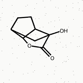 O=C1OC2C3CCC2C1(O)C3